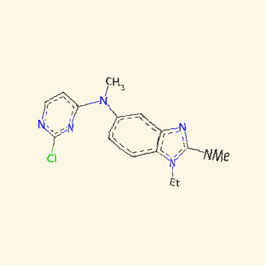 CCn1c(NC)nc2cc(N(C)c3ccnc(Cl)n3)ccc21